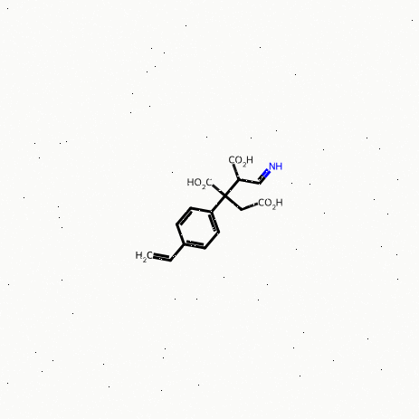 C=Cc1ccc(C(CC(=O)O)(C(=O)O)C(C=N)C(=O)O)cc1